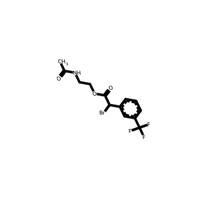 CC(=O)NCCOC(=O)C(Br)c1cccc(C(F)(F)F)c1